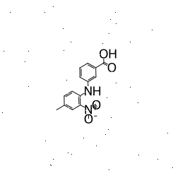 Cc1ccc(Nc2cccc(C(=O)O)c2)c([N+](=O)[O-])c1